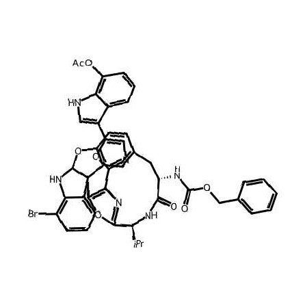 CC(=O)Oc1cccc2c(-c3cnc(-c4nc5oc4[C@]46c7cc(ccc7OC4Nc4c(Br)cccc46)C[C@H](NC(=O)OCc4ccccc4)C(=O)N[C@H]5C(C)C)o3)c[nH]c12